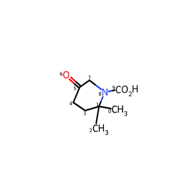 CC1(C)CCC(=O)CN1C(=O)O